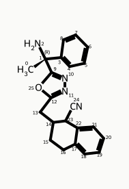 C[C@@](N)(c1ccccc1)c1nnc(CC2CCc3ccccc3C2C#N)o1